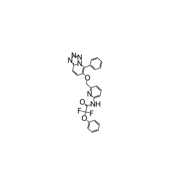 O=C(Nc1cccc(COc2ccc3nnnn3c2-c2ccccc2)n1)C(F)(F)Oc1ccccc1